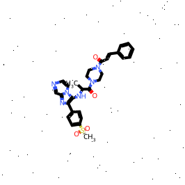 CC(Nc1c(-c2ccc(S(C)(=O)=O)cc2)nc2cnccn12)C(=O)N1CCN(C(=O)/C=C/c2ccccc2)CC1